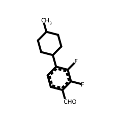 CC1CCC(c2ccc(C=O)c(F)c2F)CC1